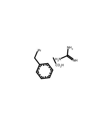 CC(=O)O.CC(C)Cc1ccccc1.N=C(N)N